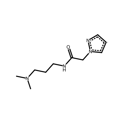 CN(C)CCCNC(=O)Cn1c[c]cn1